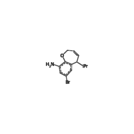 CC(C)C1C=CCOc2c(N)cc(Br)cc21